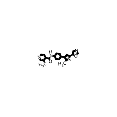 Cc1cnccc1C(=O)Nc1ccc(-c2cc(-c3cnco3)sc2C)cc1